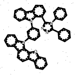 c1ccc(-c2nnc(-c3cccc4c5ccccc5n(-c5cccc(-n6c7ccccc7c7ccc8c9ccccc9oc8c76)c5)c34)n2-c2ccccc2)cc1